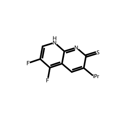 CC(C)c1cc2c(F)c(F)c[nH]c-2nc1=S